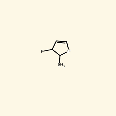 BC1OC=CC1F